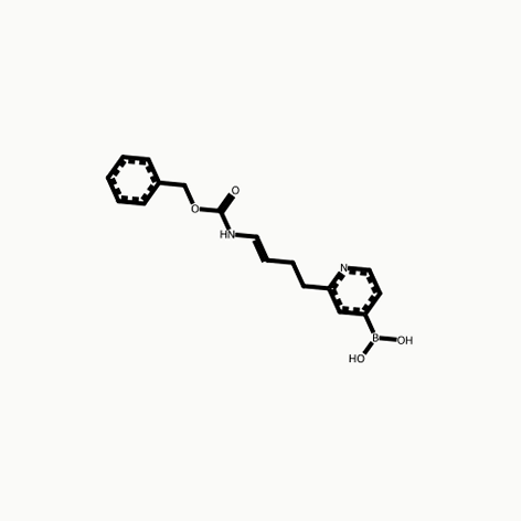 O=C(NC=CCCc1cc(B(O)O)ccn1)OCc1ccccc1